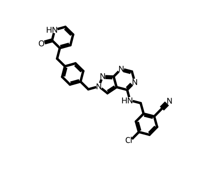 N#Cc1ccc(Cl)cc1CNc1ncnc2nn(Cc3ccc(Cc4ccc[nH]c4=O)cc3)cc12